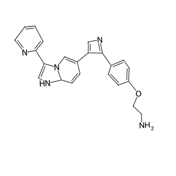 NCCOc1ccc(C2=NC=C2C2=CN3C(c4ccccn4)=CNC3C=C2)cc1